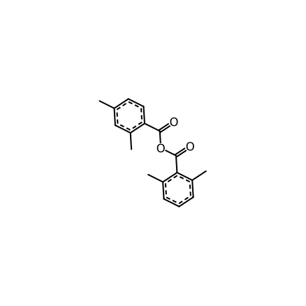 Cc1ccc(C(=O)OC(=O)c2c(C)cccc2C)c(C)c1